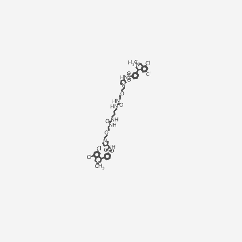 CN1Cc2c(Cl)cc(Cl)cc2C(c2cccc(S(=O)(=O)N[C@H]3CCN(CCOCCNC(=O)NCCCCNC(=O)NCCOCCN4CC[C@H](NS(=O)(=O)c5cccc(C6CN(C)Cc7c(Cl)cc(Cl)cc76)c5)C4)C3)c2)C1